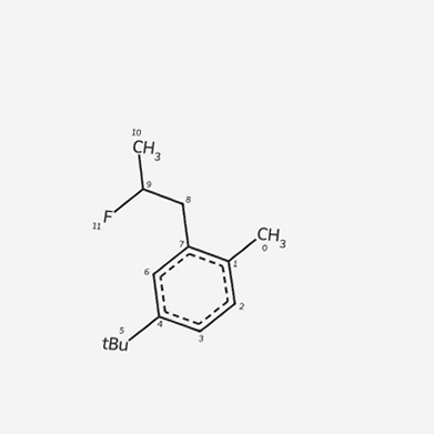 Cc1ccc(C(C)(C)C)cc1CC(C)F